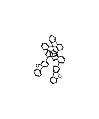 c1ccc2c(c1)-c1ccccc1C21c2ccccc2-c2cccc(-c3c4cccc(-c5ccc6c(c5)oc5ccccc56)c4cc4c(-c5ccc6c(c5)oc5ccccc56)cccc34)c21